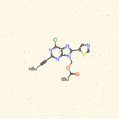 CCCCC#Cc1nc(Cl)c2nc(-c3cncs3)n(COC(=O)C(C)(C)C)c2n1